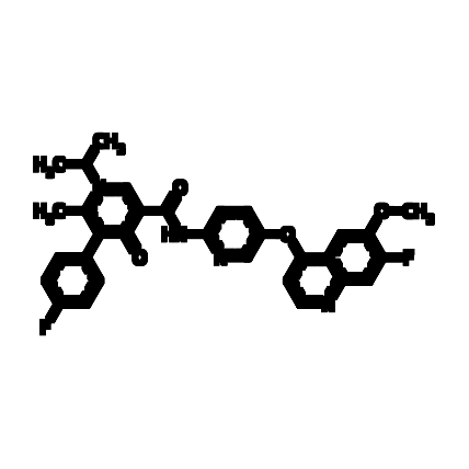 COc1cc2c(Oc3ccc(NC(=O)c4cn(C(C)C)c(C)c(-c5ccc(F)cc5)c4=O)nc3)ccnc2cc1F